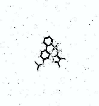 Cc1noc(NS(=O)(=O)c2ccccc2-c2ccc(OC(C)C)cc2)c1C